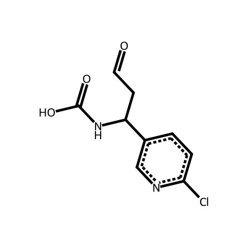 O=CCC(NC(=O)O)c1ccc(Cl)nc1